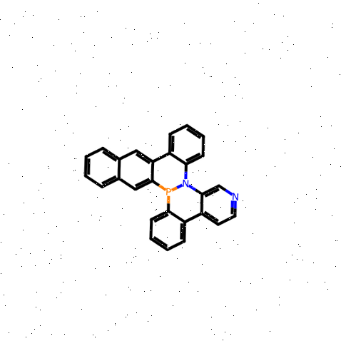 c1ccc2c(c1)-c1cc3ccccc3cc1P1c3ccccc3-c3ccncc3N21